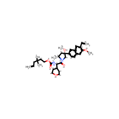 C=CCC(C)(C)CCOC(=O)N[C@H](C(=O)N1C[C@](OC)(c2ccc3cc(OC)c(C=C)cc3c2)C[C@H]1C)C1CCOCC1